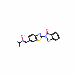 CC(C)[N+]([O-])=Cc1ccc2nc(-n3[se]c4ccccc4c3=O)sc2c1